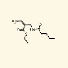 CCCCC(=O)NCC(=CN)C(=O)SCC